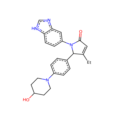 CCC1=CC(=O)N(c2ccc3[nH]cnc3c2)C1c1ccc(N2CCC(O)CC2)cc1